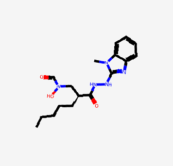 CCCCC[C@@H](CN(O)C=O)C(=O)NNc1nc2ccccc2n1C